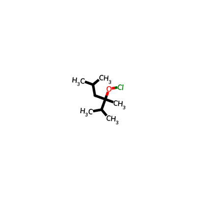 CC(C)CC(C)(OCl)C(C)C